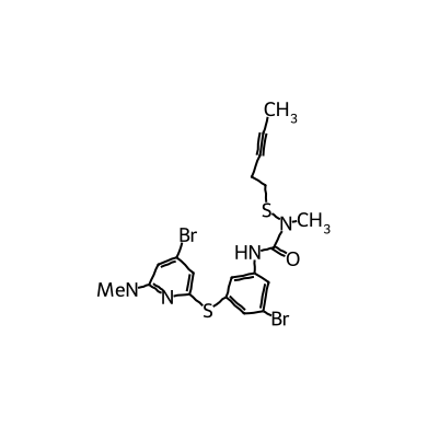 CC#CCCSN(C)C(=O)Nc1cc(Br)cc(Sc2cc(Br)cc(NC)n2)c1